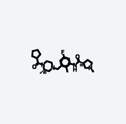 Cc1c(CN2CCN(C(=O)C3CCCC3)[C@@H](C)C2)cc(F)cc1NC(=O)[C@H]1CCN(C)C1